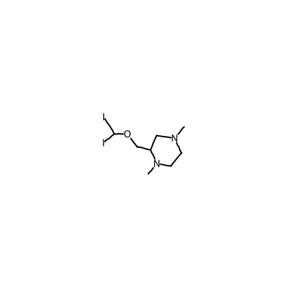 CN1CCN(C)C(COC(I)I)C1